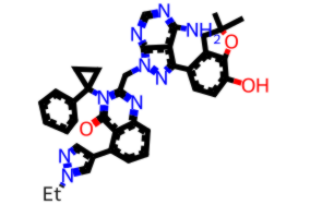 CCn1cc(-c2cccc3nc(Cn4nc(-c5ccc(O)c6c5CC(C)(C)O6)c5c(N)ncnc54)n(C4(c5ccccc5)CC4)c(=O)c23)cn1